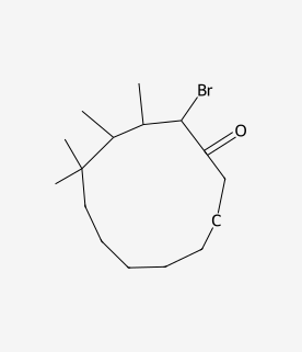 CC1C(Br)C(=O)CCCCCCCC(C)(C)C1C